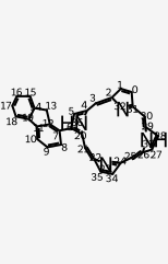 C1=Cc2cc3cc(-c4cccc5c4Cc4ccccc4-5)c(cc4nc(cc5ccc(cc1n2)[nH]5)C=C4)[nH]3